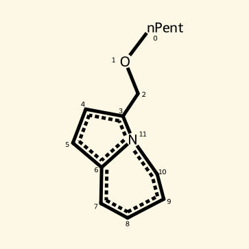 CCCCCOCc1ccc2ccccn12